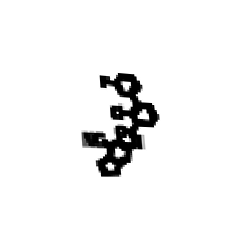 N#Cc1c2c(cc3nc(-c4cccc(-c5cccc(F)c5)c4Cl)oc13)CCC2